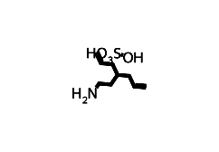 C=CCC(CC=C)CCN.O=S(=O)(O)O